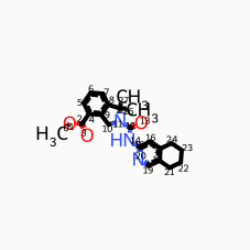 COC(=O)c1cccc2c1CN(C(=O)Nc1cc3c(cn1)CCCC3)C2(C)C